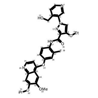 CCOc1cn(-c2cnccc2CO)nc1C(=O)Nc1ccc(Oc2ccnc3cc(OC(C)C)c(OC)cc23)cc1F